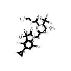 CCOC(=O)C[C@H]([C@H](C)NC(=O)CN1C(=O)C(C)(C)c2c(F)c(C3CC3)cc(F)c21)C(F)(F)F